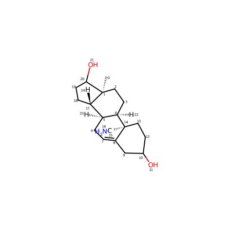 C[C@]12CC[C@@H]3[C@@H](CC=C4CC(O)CC[C@@]43CN)[C@@H]1CCC2O